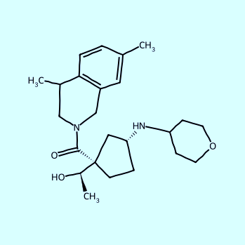 Cc1ccc2c(c1)CN(C(=O)[C@@]1([C@@H](C)O)CC[C@@H](NC3CCOCC3)C1)CC2C